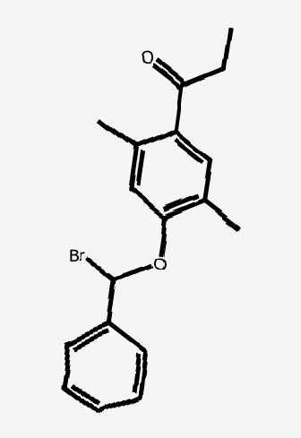 CCC(=O)c1cc(C)c(OC(Br)c2ccccc2)cc1C